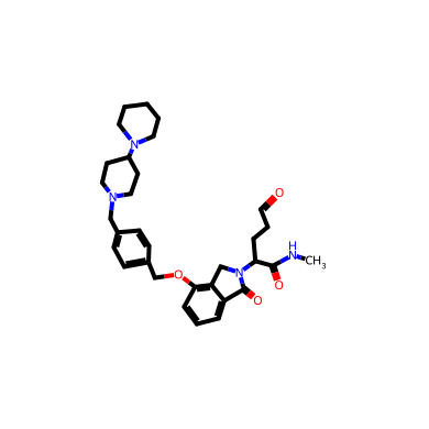 CNC(=O)C(CCC=O)N1Cc2c(OCc3ccc(CN4CCC(N5CCCCC5)CC4)cc3)cccc2C1=O